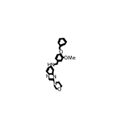 COc1cc(CNc2ccc3ncc(N4CCOCC4)nc3c2)ccc1OCc1ccccc1